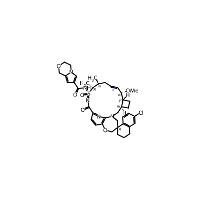 CO[C@H]1/C=C/C[C@H](C)[C@@H](C)S(=O)(NC(=O)c2cc3n(c2)CCOC3)=NC(=O)c2ccc3c(n2)N(C[C@@H]2CC[C@H]21)C[C@@]1(CCCc2cc(Cl)ccc21)CO3